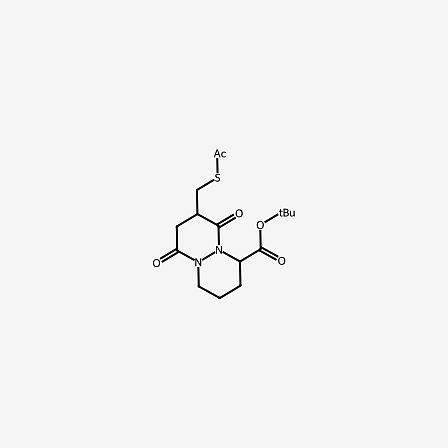 CC(=O)SCC1CC(=O)N2CCCC(C(=O)OC(C)(C)C)N2C1=O